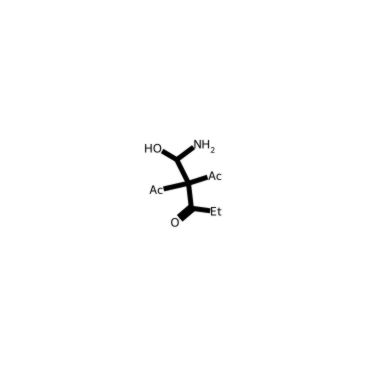 CCC(=O)C(C(C)=O)(C(C)=O)C(N)O